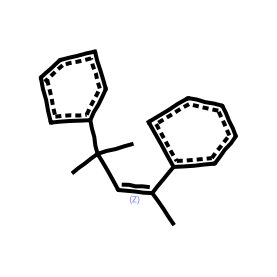 C/C(=C/C(C)(C)c1ccccc1)c1ccccc1